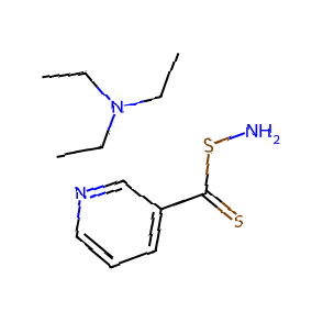 CCN(CC)CC.NSC(=S)c1cccnc1